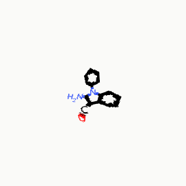 NC1C(=C=O)c2ccccc2N1c1ccccc1